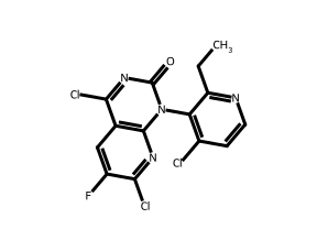 CCc1nccc(Cl)c1-n1c(=O)nc(Cl)c2cc(F)c(Cl)nc21